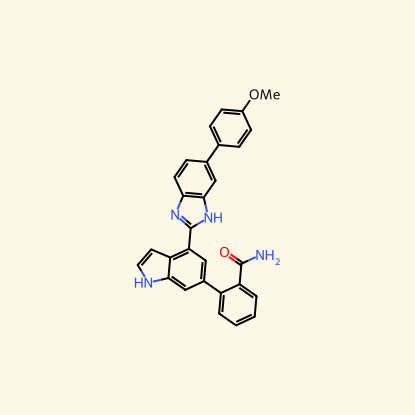 COc1ccc(-c2ccc3nc(-c4cc(-c5ccccc5C(N)=O)cc5[nH]ccc45)[nH]c3c2)cc1